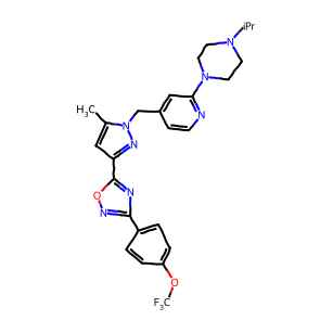 Cc1cc(-c2nc(-c3ccc(OC(F)(F)F)cc3)no2)nn1Cc1ccnc(N2CCN(C(C)C)CC2)c1